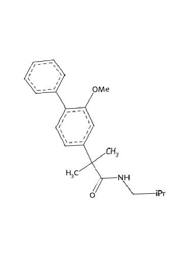 COc1cc(C(C)(C)C(=O)NCC(C)C)ccc1-c1ccccc1